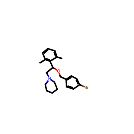 Cc1cccc(C)c1C(CN1CCCCC1)OCc1ccc(Br)cc1